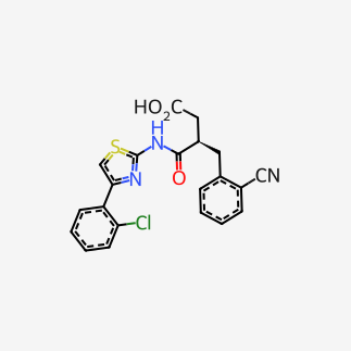 N#Cc1ccccc1C[C@H](CC(=O)O)C(=O)Nc1nc(-c2ccccc2Cl)cs1